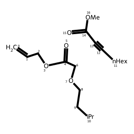 C=CCOC(=O)COCCC(C)C.CCCCCCC#CC(=O)OC